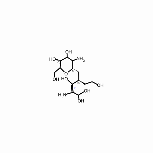 N/C(=C(\O)[C@H](CCO)C[C@@H]1OC(CO)[C@@H](O)C(O)C1N)C(O)O